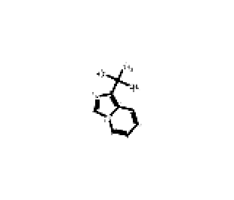 CC(C)(N)c1ncn2ccccc12